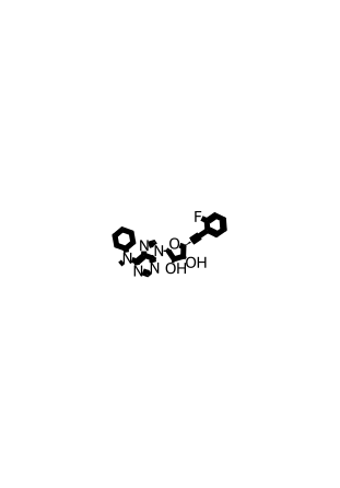 CN(c1ncnc2c1ncn2[C@@H]1O[C@H](C#Cc2ccccc2F)[C@@H](O)[C@H]1O)C1CCCCC1